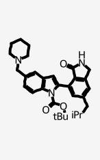 CC(C)Cc1cc2c(c(-c3cc4cc(CN5CCCCC5)ccc4n3C(=O)OC(C)(C)C)c1)C(=O)NC2